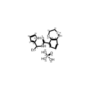 CCC(NC(=O)c1cccc2c1OCCCO2)c1ccc[nH]1.O=P(O)(O)O